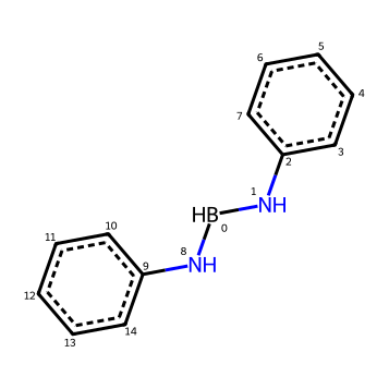 B(Nc1ccccc1)Nc1ccccc1